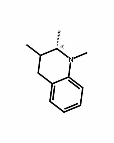 CC1Cc2ccccc2N(C)[C@H]1C